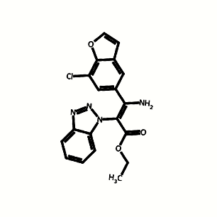 CCOC(=O)/C(=C(\N)c1cc(Cl)c2occc2c1)n1nnc2ccccc21